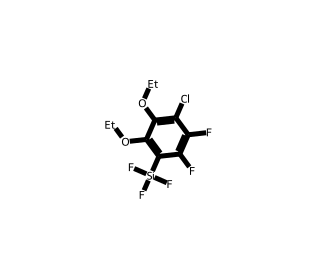 CCOc1c(Cl)c(F)c(F)c([Si](F)(F)F)c1OCC